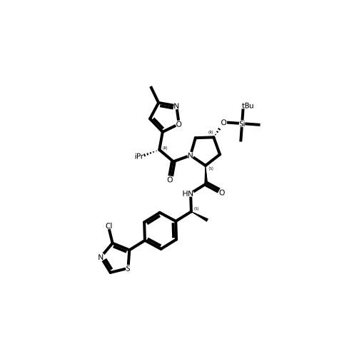 Cc1cc([C@H](C(=O)N2C[C@H](O[Si](C)(C)C(C)(C)C)C[C@H]2C(=O)N[C@@H](C)c2ccc(-c3scnc3Cl)cc2)C(C)C)on1